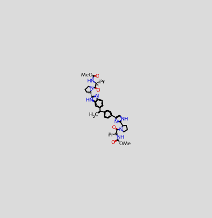 C=C(c1ccc(-c2c[nH]c(C3CCCN3C(=O)[C@@H](NC(=O)OC)C(C)C)n2)cc1)c1ccc2nc([C@@H]3CCCN3C(=O)[C@@H](NC(=O)OC)C(C)C)[nH]c2c1